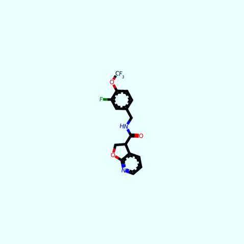 O=C(NCc1ccc(OC(F)(F)F)c(F)c1)C1COc2ncccc21